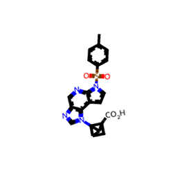 Cc1ccc(S(=O)(=O)n2ccc3c4c(cnc32)ncn4C2C3CC2(C(=O)O)C3)cc1